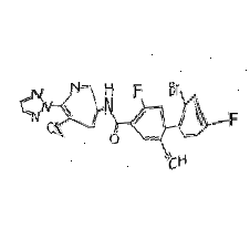 C#Cc1cc(C(=O)Nc2cnc(-n3nccn3)c(Cl)c2)c(F)cc1-c1ccc(F)cc1Br